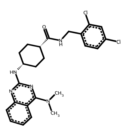 CN(C)c1nc(N[C@H]2CC[C@@H](C(=O)NCc3ccc(Cl)cc3Cl)CC2)nc2ccccc12